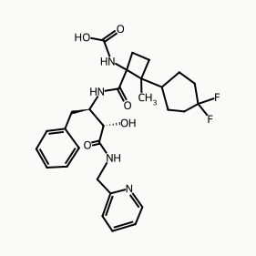 CC1(C2CCC(F)(F)CC2)CCC1(NC(=O)O)C(=O)N[C@H](Cc1ccccc1)[C@H](O)C(=O)NCc1ccccn1